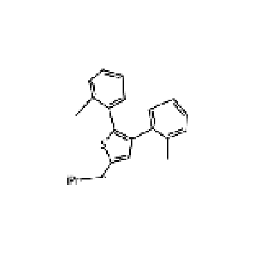 Cc1ccccc1-c1cc([CH]C(C)C)sc1-c1ccccc1C